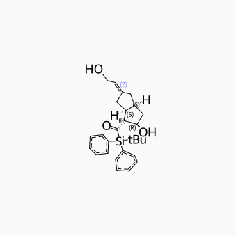 CC(C)(C)[Si](C(=O)[C@@H]1[C@H]2C/C(=C\CO)C[C@H]2C[C@H]1O)(c1ccccc1)c1ccccc1